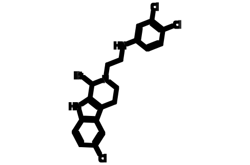 CCC1c2[nH]c3ccc(Cl)cc3c2CCN1CCNc1ccc(Cl)c(Cl)c1